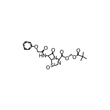 CC(C)(C)C(=O)OCOC(=O)C1=NC[S+]([O-])C2C(NC(=O)COc3ccccc3)C(=O)N12